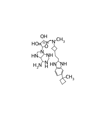 CN(C[C@H]1OC(N2CNC3C(N)NCNC32)[C@H](O)[C@@H]1O)C1CC(CCC2Nc3ccc(C4(C)CCC4)cc3N2)C1